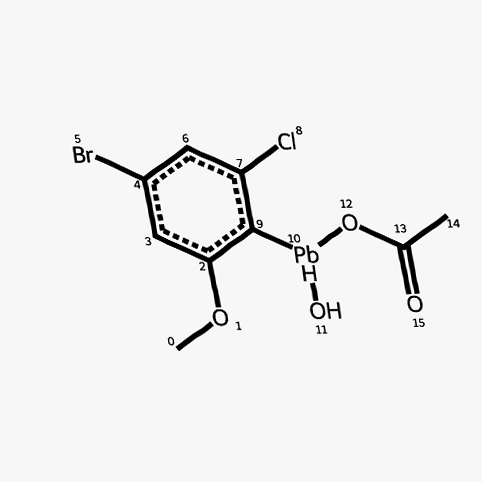 COc1cc(Br)cc(Cl)[c]1[PbH]([OH])[O]C(C)=O